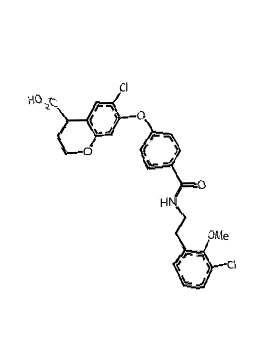 COc1c(Cl)cccc1CCNC(=O)c1ccc(Oc2cc3c(cc2Cl)C(C(=O)O)CCO3)cc1